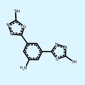 Nc1cc(-c2nnc(S)o2)cc(-c2nnc(S)o2)c1